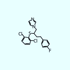 Fc1ccc(CCC(Cn2ccnc2)Sc2c(Cl)cccc2Cl)cc1